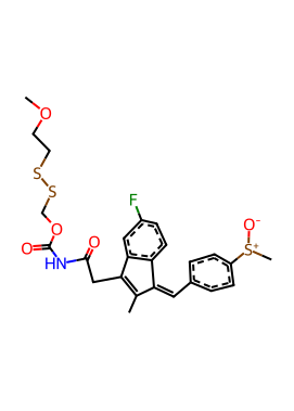 COCCSSCOC(=O)NC(=O)CC1=C(C)/C(=C/c2ccc([S+](C)[O-])cc2)c2ccc(F)cc21